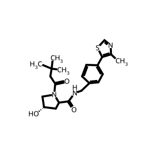 Cc1ncsc1-c1ccc(CNC(=O)C2C[C@H](O)CN2C(=O)CC(C)(C)C)cc1